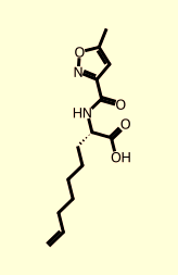 C=CCCCCC[C@H](NC(=O)c1cc(C)on1)C(=O)O